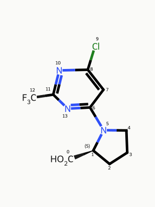 O=C(O)[C@@H]1CCCN1c1cc(Cl)nc(C(F)(F)F)n1